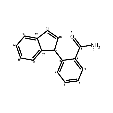 NC(=O)c1ccccc1C1C=Cc2ccccc21